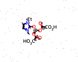 CCN1C=CN(C)C1OB(OC(=O)C(=O)O)OC(=O)C(=O)O